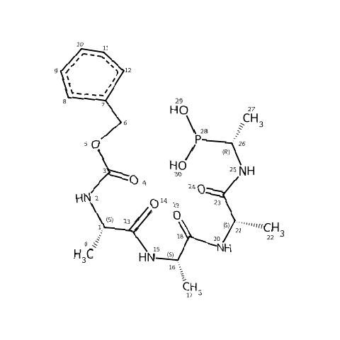 C[C@H](NC(=O)OCc1ccccc1)C(=O)N[C@@H](C)C(=O)N[C@@H](C)C(=O)N[C@@H](C)P(O)O